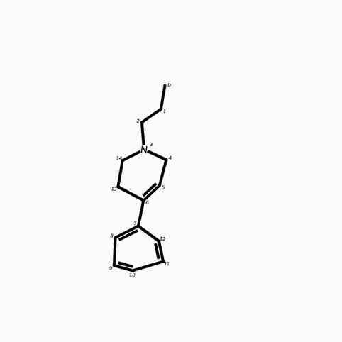 C[CH]CN1CC=C(c2ccccc2)CC1